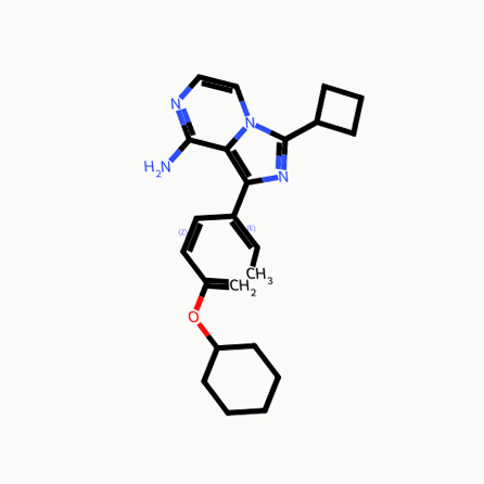 C=C(/C=C\C(=C/C)c1nc(C2CCC2)n2ccnc(N)c12)OC1CCCCC1